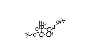 CC(C)(C)[Si](C)(C)OCCCn1cc(C2=C(c3nccn3COCC[Si](C)(C)C)C(=O)NC2=O)c2cccnc21